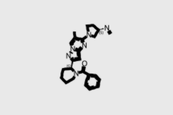 C=N[C@H]1CCN(c2nc3cc([C@@H]4CCCCN4C(=O)c4ccccc4)nn3cc2C)C1